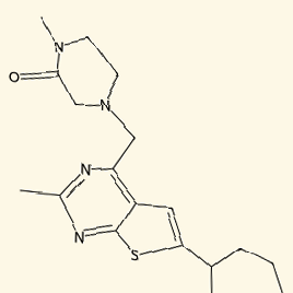 Cc1nc(CN2CCN(C)C(=O)C2)c2cc(C3CCCCC3)sc2n1